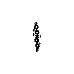 CCOc1ccc(-c2ccc(OC(=O)c3ccc(-c4ccc(OC)cc4)c(F)c3F)cc2)c(F)c1